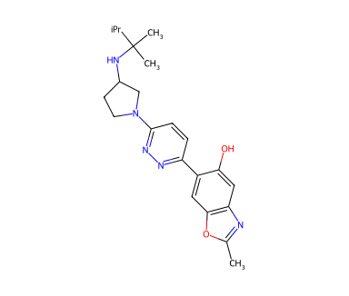 Cc1nc2cc(O)c(-c3ccc(N4CCC(NC(C)(C)C(C)C)C4)nn3)cc2o1